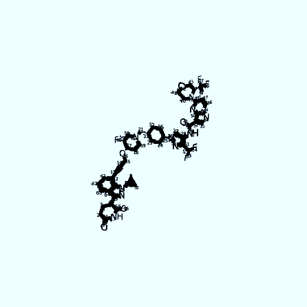 O=C1CCC(c2nn(C3CC3)c3c(C#CCO[C@H]4CCN(C[C@H]5CC[C@H](n6cc(NC(=O)c7cnn8ccc(N9CCOC[C@@H]9C(F)(F)F)nc78)c(C(F)F)n6)CC5)C[C@H]4F)cccc23)C(=O)N1